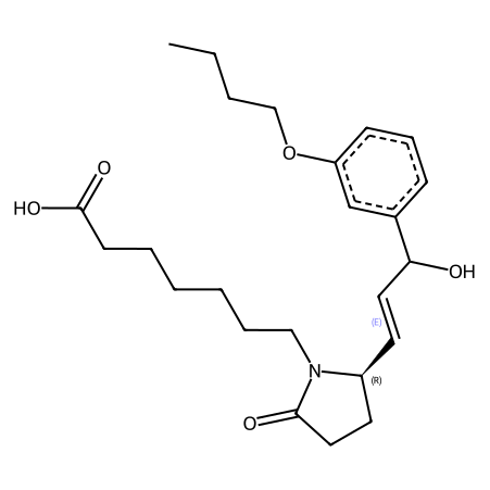 CCCCOc1cccc(C(O)/C=C/[C@H]2CCC(=O)N2CCCCCCC(=O)O)c1